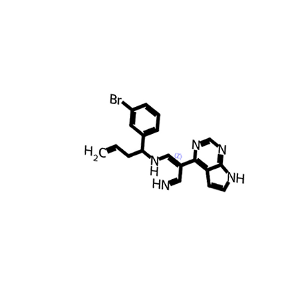 C=CCC(N/C=C(\C=N)c1ncnc2[nH]ccc12)c1cccc(Br)c1